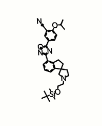 CC(C)Oc1ccc(-c2nc(-c3cccc4c3CCC43CCN(CCO[Si](C)(C)C(C)(C)C)C3)no2)cc1C#N